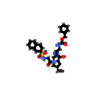 CS[C@H]1C[C@@H](C(N)=O)[N@@+](CCCCNC(=O)OCc2ccccc2)(C(=O)CNS(=O)(=O)c2ccc3ccccc3c2)C1